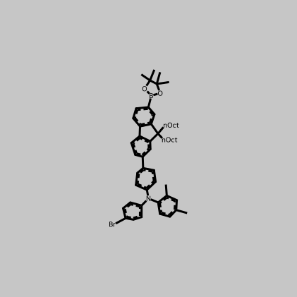 CCCCCCCCC1(CCCCCCCC)c2cc(B3OC(C)(C)C(C)(C)O3)ccc2-c2ccc(-c3ccc(N(c4ccc(Br)cc4)c4ccc(C)cc4C)cc3)cc21